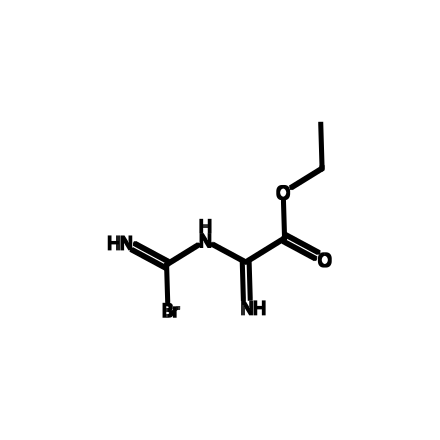 CCOC(=O)C(=N)NC(=N)Br